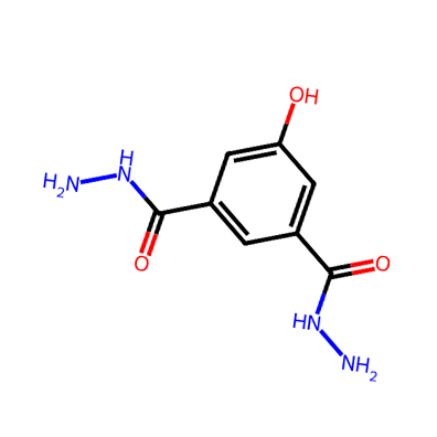 NNC(=O)c1cc(O)cc(C(=O)NN)c1